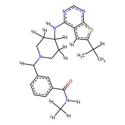 [2H]c1c(C([2H])(C)C)sc2ncnc(N([2H])C3([2H])C([2H])([2H])CN(C([2H])c4cccc(C(=O)N([2H])C([2H])([2H])[2H])c4)CC3([2H])[2H])c12